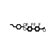 CCCC1CCC(C(=O)Oc2ccc(-c3ccc(C4CO4)c(F)c3F)c(F)c2F)CC1